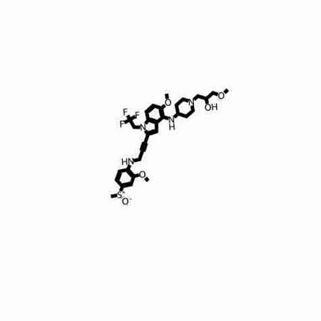 COCC(O)CN1CCC(Nc2c(OC)ccc3c2cc(C#CCNc2ccc([S+](C)[O-])cc2OC)n3CC(F)(F)F)CC1